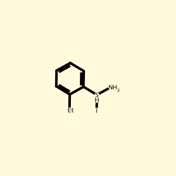 CCc1ccccc1[SH](N)I